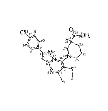 CSc1c(C)nc2cc(-c3ccc(Cl)cc3)nn2c1N1CCCC(C)(C(=O)O)C1